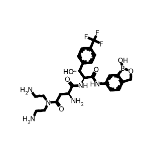 NCCN(CCN)C(=O)C[C@H](N)C(=O)N[C@H](C(=O)Nc1ccc2c(c1)B(O)OC2)[C@H](O)c1ccc(C(F)(F)F)cc1